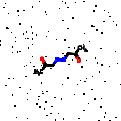 CC(=O)CN=NCC(C)=O